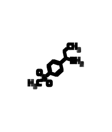 BC(CC)c1ccc(S(C)(=O)=O)cc1